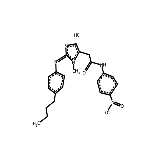 CCCCc1ccc(N=c2scc(CC(=O)Nc3ccc([N+](=O)[O-])cc3)n2C)cc1.Cl